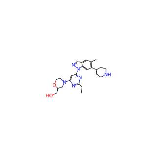 CCc1nc(N2CCOC(CO)C2)cc(-n2ncc3cc(C)c(C4CCNCC4)cc32)n1